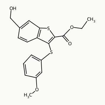 CCOC(=O)c1sc2cc(CO)ccc2c1Sc1cccc(OC)c1